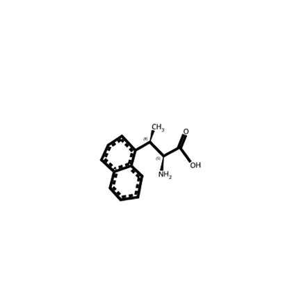 C[C@H](c1cccc2ccccc12)[C@H](N)C(=O)O